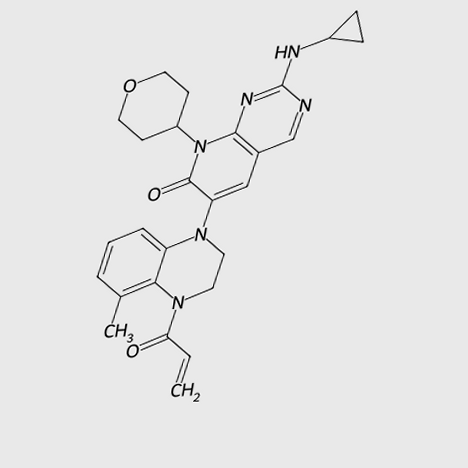 C=CC(=O)N1CCN(c2cc3cnc(NC4CC4)nc3n(C3CCOCC3)c2=O)c2cccc(C)c21